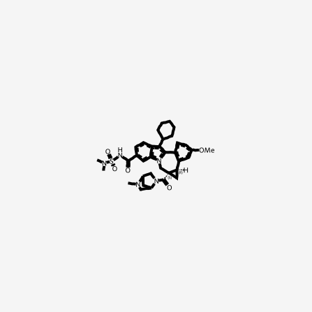 COc1ccc2c(c1)[C@H]1C[C@@]1(C(=O)N1CC3CC1CN3C)Cn1c-2c(C2CCCCC2)c2ccc(C(=O)NS(=O)(=O)N(C)C)cc21